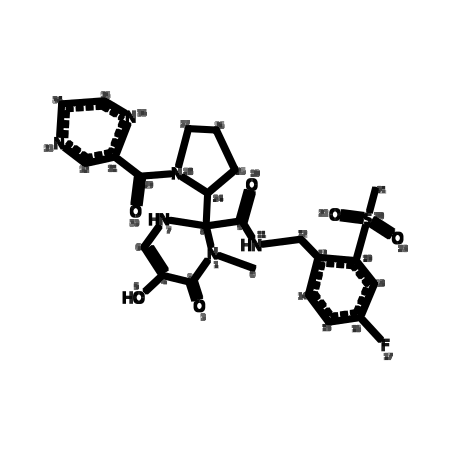 CN1C(=O)C(O)=CNC1(C(=O)NCc1ccc(F)cc1S(C)(=O)=O)C1CCCN1C(=O)c1cnccn1